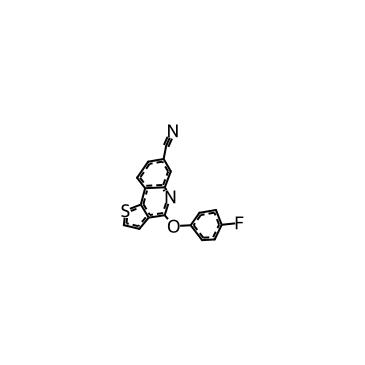 N#Cc1ccc2c(c1)nc(Oc1ccc(F)cc1)c1ccsc12